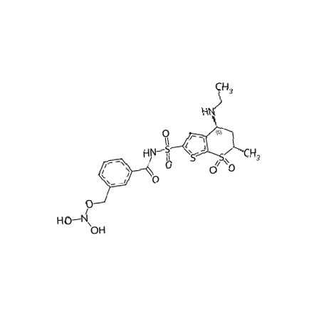 CCN[C@H]1CC(C)S(=O)(=O)c2sc(S(=O)(=O)NC(=O)c3cccc(CON(O)O)c3)cc21